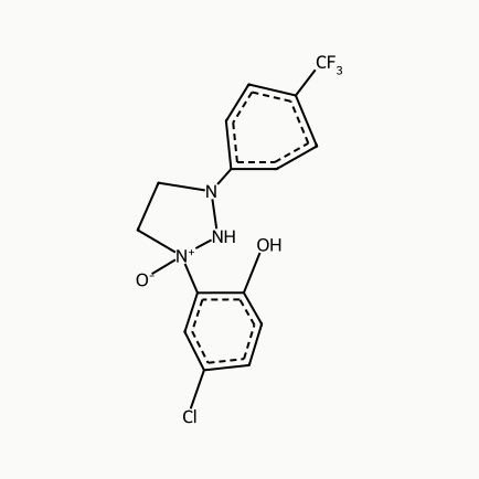 [O-][N+]1(c2cc(Cl)ccc2O)CCN(c2ccc(C(F)(F)F)cc2)N1